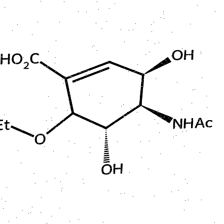 CCOC1C(C(=O)O)=C[C@@H](O)[C@@H](NC(C)=O)[C@@H]1O